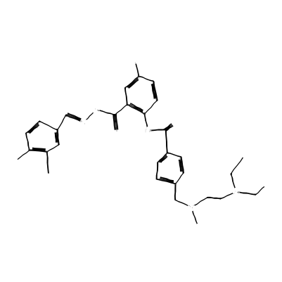 CCN(CC)CCN(C)Cc1ccc(C(=O)Nc2ccc(Br)cc2C(=O)N/N=C/c2ccc(C)c(C)c2)cc1